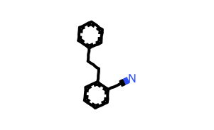 N#Cc1ccccc1CCc1ccccc1